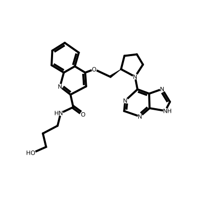 O=C(NCCCO)c1cc(OC[C@H]2CCCN2c2ncnc3[nH]cnc23)c2ccccc2n1